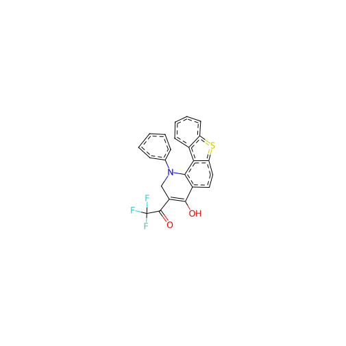 O=C(C1=C(O)c2ccc3sc4ccccc4c3c2N(c2ccccc2)C1)C(F)(F)F